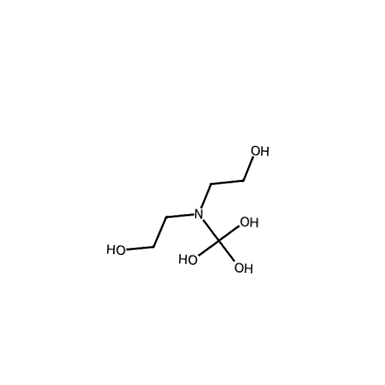 OCCN(CCO)C(O)(O)O